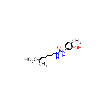 CC(=CCCCCNC(=O)Nc1ccc(C)c(O)c1)C(=O)O